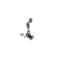 CC1(COc2ccc(-c3ccc(N4CCN(Cc5ccc(C(F)(F)F)cc5)CC4)cc3)cc2)Cn2cc([N+](=O)[O-])nc2O1